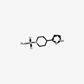 CNS(=O)(=O)N1CCC(c2cc[nH]n2)CC1